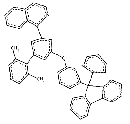 Cc1cccc(C)c1-c1cc(Oc2cccc(C3(c4ccccn4)c4ccccc4-c4ccccc43)c2)cc(-c2nccc3ccccc23)c1